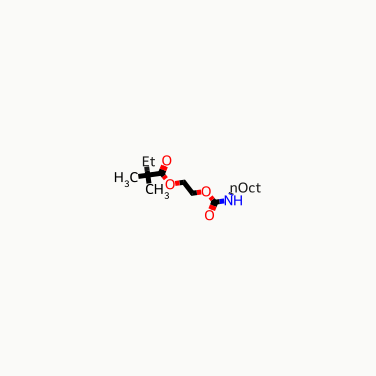 CCCCCCCCNC(=O)OCCOC(=O)C(C)(C)CC